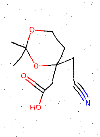 CC1(C)OCCC(CC#N)(CC(=O)O)O1